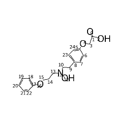 O=C(O)COc1ccc(CCN(O)CCCOc2ccccc2)cc1